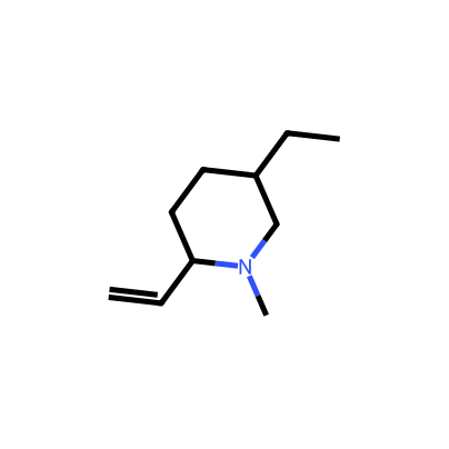 C=CC1CCC(CC)CN1C